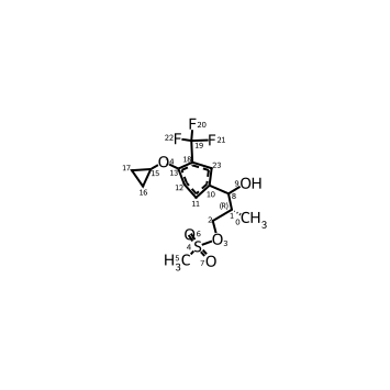 C[C@H](COS(C)(=O)=O)C(O)c1ccc(OC2CC2)c(C(F)(F)F)c1